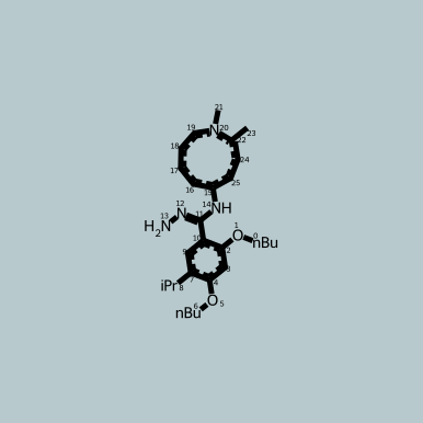 CCCCOc1cc(OCCCC)c(C(C)C)cc1C(=NN)Nc1ccccn(C)c(C)cc1